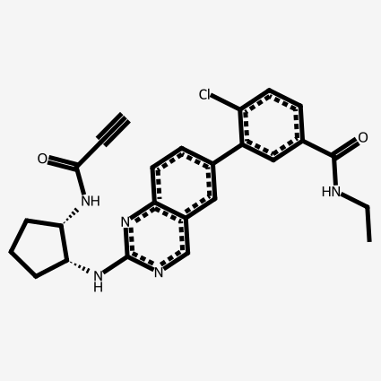 C#CC(=O)N[C@H]1CCC[C@H]1Nc1ncc2cc(-c3cc(C(=O)NCC)ccc3Cl)ccc2n1